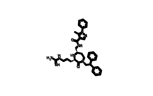 Cc1c(C(=O)NC[C@@H]2CCN(CC(c3ccccc3)c3ccccc3)C(=O)[C@H](CCCNC(=N)N)N2)cnn1-c1ccccc1